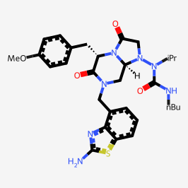 CCCCNC(=O)N(C(C)C)N1CC(=O)N2[C@@H](Cc3ccc(OC)cc3)C(=O)N(Cc3cccc4sc(N)nc34)C[C@@H]21